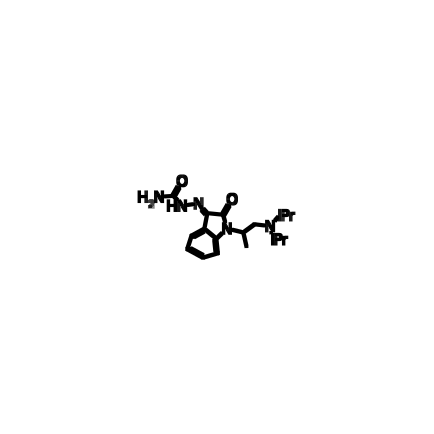 CC(CN(C(C)C)C(C)C)N1C(=O)/C(=N/NC(N)=O)c2ccccc21